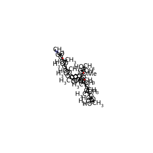 C/C=C/OC(=O)OC[C@H](O)C(C)OC(C)OC[C@H](O)C(C)OC(C)Oc1cc2cc3c(c(O)c2c(O)c1C)C(=O)[C@@H](OC(C)OC(C)[C@@H](O)COC(C)OC(C)[C@H](O)COC1OC(C)[C@@H](O)C1(C)O)[C@H]([C@H](OC)C(=O)[C@@H](O)[C@@H](C)O)C3